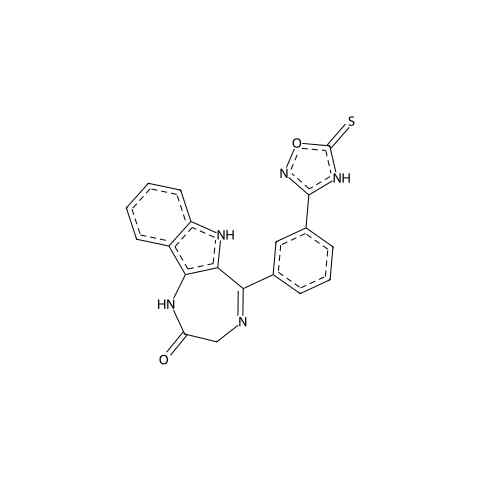 O=C1CN=C(c2cccc(-c3noc(=S)[nH]3)c2)c2[nH]c3ccccc3c2N1